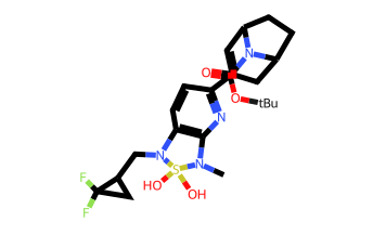 CN1c2nc(C3=CC4CCC(C3)N4C(=O)OC(C)(C)C)ccc2N(CC2CC2(F)F)S1(O)O